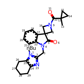 CCCCn1c(CN2C(=O)C3(CN(C(=O)C4(C)CC4)C3)c3ccccc32)nc2c1CCCC2